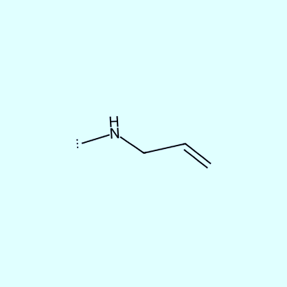 [C]NCC=C